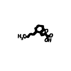 CCCC=C1CCCc2oc(C(=O)O)cc21